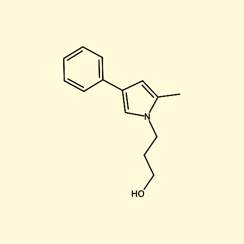 Cc1cc(-c2ccccc2)cn1CCCO